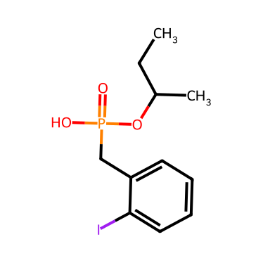 CCC(C)OP(=O)(O)Cc1ccccc1I